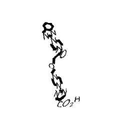 O=C(O)c1cnc(N2CCN(CCOCCC(=O)N3CCN(c4ncc5c(n4)CCCC5)CC3)CC2)nc1